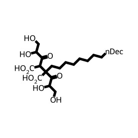 CCCCCCCCCCCCCCCCCCC(C(=O)O)(C(=O)C(O)CO)C(C(=O)O)C(=O)C(O)CO